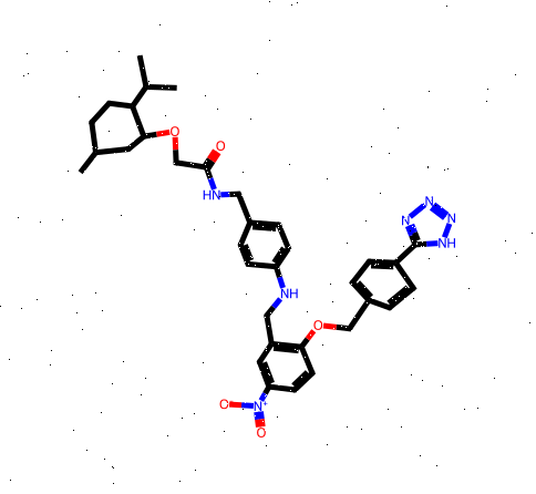 CC1CCC(C(C)C)C(OCC(=O)NCc2ccc(NCc3cc([N+](=O)[O-])ccc3OCc3ccc(-c4nnn[nH]4)cc3)cc2)C1